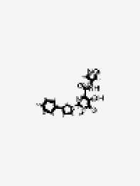 Cn1c(N2CCC(c3ccccc3)C2)nc(C(=O)Nc2cnoc2)c(O)c1=O